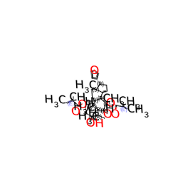 C/C=C(\C)C(=O)O[C@@H]1[C@@H]2OC[C@]3(C)[C@H](O)C[C@H](OC(=O)/C(C)=C/C)[C@@](C)([C@@H]23)[C@H]2CC[C@]3(C)C(=CC[C@H]3c3ccoc3)[C@]12C